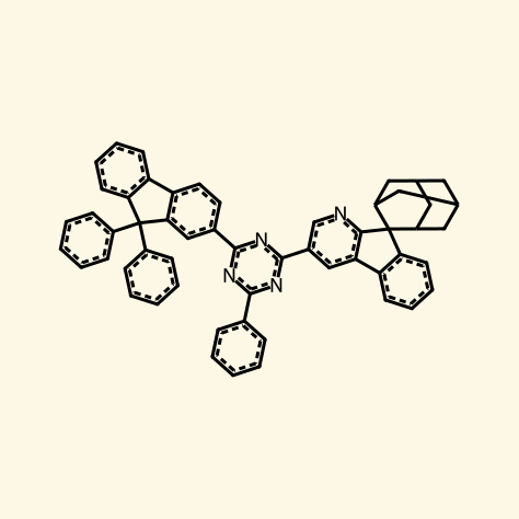 c1ccc(-c2nc(-c3cnc4c(c3)-c3ccccc3C43C4CC5CC(C4)CC3C5)nc(-c3ccc4c(c3)C(c3ccccc3)(c3ccccc3)c3ccccc3-4)n2)cc1